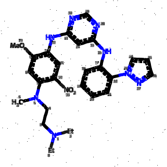 CCN(CC)CCN(C)c1cc(OC)c(Nc2cc(Nc3ccccc3-n3cccn3)ncn2)cc1[N+](=O)[O-]